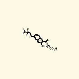 O=C(O)CNC(=O)c1nc2ccc(OCC(F)(F)C(F)F)cc2cc1O